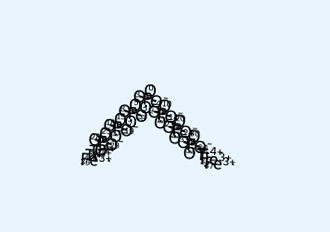 O=P([O-])([O-])[O-].O=P([O-])([O-])[O-].O=P([O-])([O-])[O-].O=P([O-])([O-])[O-].O=P([O-])([O-])[O-].O=P([O-])([O-])[O-].O=P([O-])([O-])[O-].[Fe+3].[Fe+3].[Fe+3].[Ti+4].[Ti+4].[Ti+4]